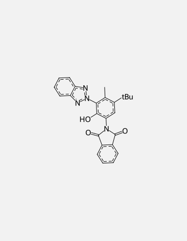 Cc1c(C(C)(C)C)cc(N2C(=O)c3ccccc3C2=O)c(O)c1-n1nc2ccccc2n1